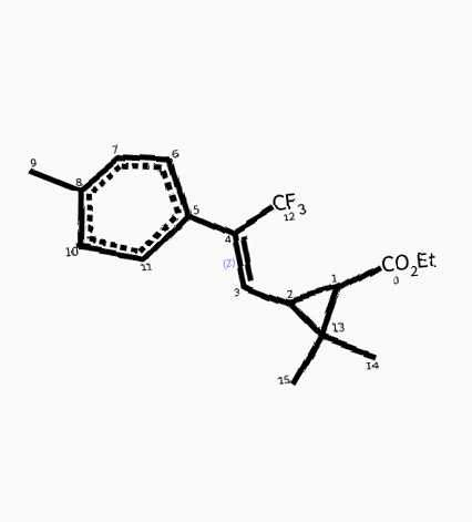 CCOC(=O)C1C(/C=C(/c2ccc(C)cc2)C(F)(F)F)C1(C)C